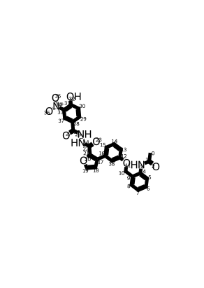 CC(=O)Nc1ccccc1COc1cccc(-c2ccoc2C(=O)NNC(=O)c2ccc(O)c([N+](=O)[O-])c2)c1